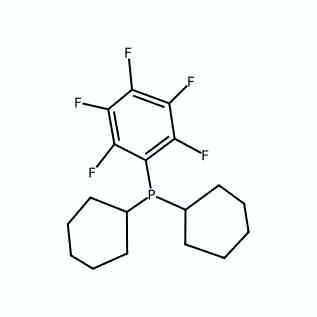 Fc1c(F)c(F)c(P(C2CCCCC2)C2CCCCC2)c(F)c1F